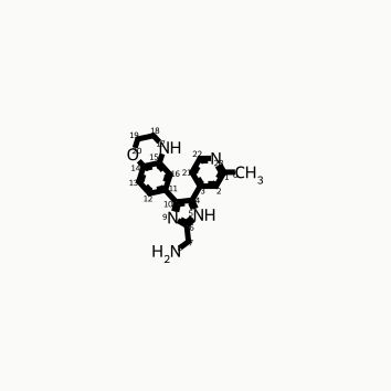 Cc1cc(-c2[nH]c(CN)nc2-c2ccc3c(c2)NCCO3)ccn1